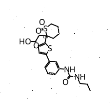 CCCNC(=O)Nc1cccc(-c2ccc([C@@]3(CC(=O)O)CCCCS3(=O)=O)s2)c1